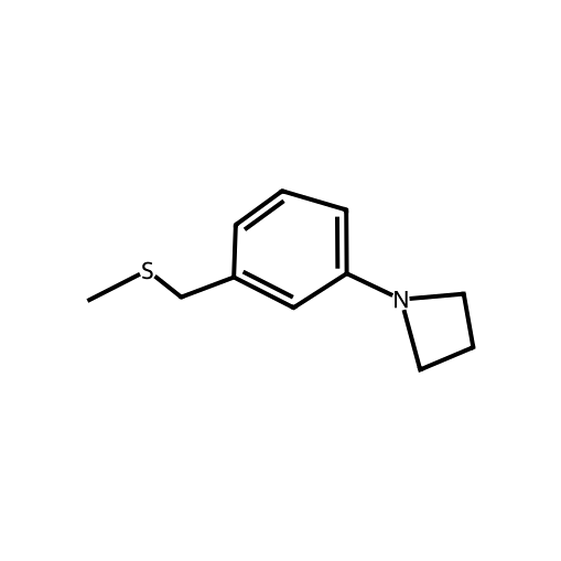 CSCc1cccc(N2CCC2)c1